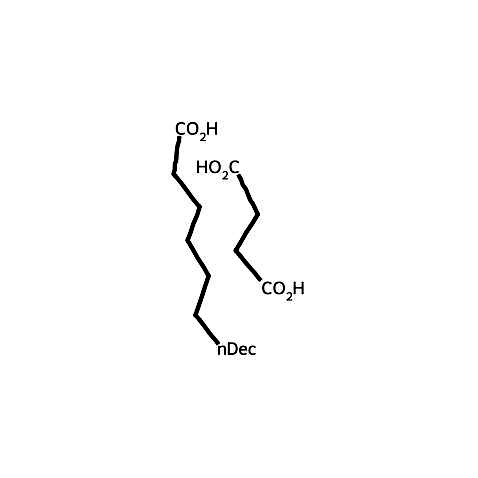 CCCCCCCCCCCCCCCC(=O)O.O=C(O)CCC(=O)O